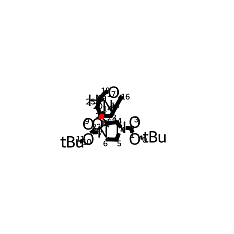 CC(C)(C)OC(=O)N1CCN(C(=O)OC(C)(C)C)[C@@H](CN2C3COC[C@@H]2CC(=O)C3)C1